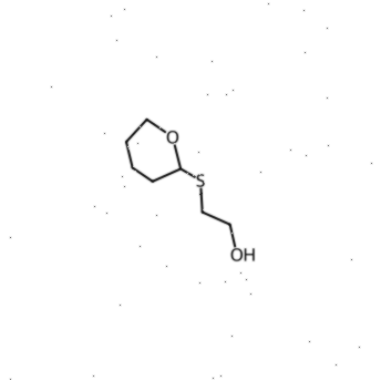 OCCSC1CCCCO1